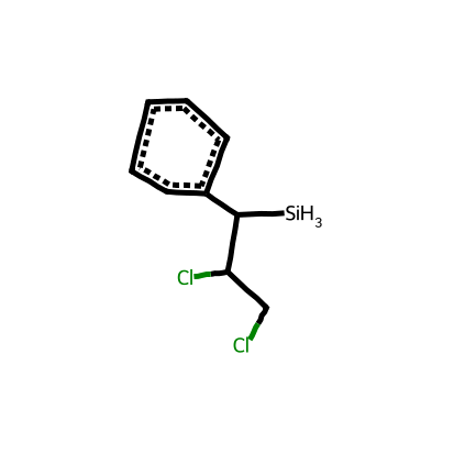 [SiH3]C(c1ccccc1)C(Cl)CCl